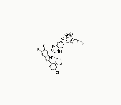 CCOC(=O)C(C)(C)Oc1ccc(NC(=O)C(C2CCCCC2)n2c(-c3ccc(Cl)cc3)nc3cc(F)c(F)cc32)c(F)c1